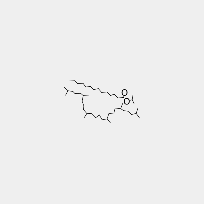 CC(C)CCCC(C)CCCC(C)CCCCC(C)CCCC(C)CCCC(C)C.CCCCCCCCCCCCCC(=O)OC(C)C